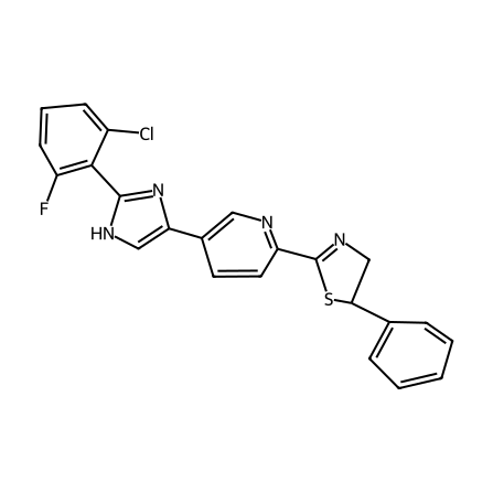 Fc1cccc(Cl)c1-c1nc(-c2ccc(C3=NCC(c4ccccc4)S3)nc2)c[nH]1